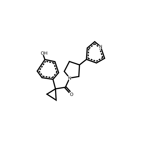 O=C(N1CCC(c2ccncc2)C1)C1(c2ccc(O)cc2)CC1